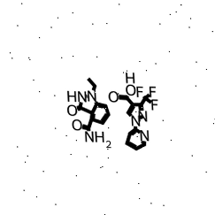 CCn1[nH]c(=O)c2c(C(N)=O)cccc21.O=C(O)c1cn(-c2ccccn2)nc1C(F)(F)F